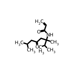 C=CC(=O)NC(C)(CC(=O)CC(C)C)C(C)C